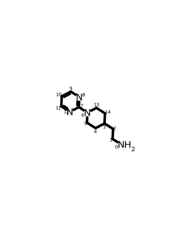 NCCC1CCN(c2ncccn2)CC1